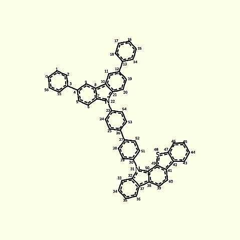 c1ccc(-c2ccc3c(c2)c2cc(-c4ccccc4)ccc2n3-c2ccc(-c3ccc(-n4c5ccccc5c5ccc6c7ccccc7sc6c54)cc3)cc2)cc1